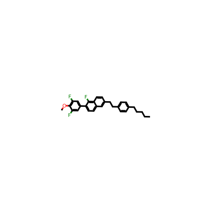 CCCCCc1ccc(CCc2ccc3c(F)c(-c4cc(F)c(OC)c(F)c4)ccc3c2)cc1